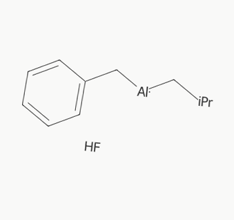 CC(C)[CH2][Al][CH2]c1ccccc1.F